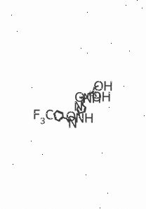 O=C(NC[C@H](O)CO)c1ccc(Nc2ncc(-c3ccc(C(F)(F)F)cc3)o2)cn1